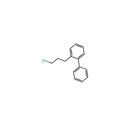 ClCCCc1c[c]ccc1-c1ccccc1